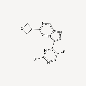 Fc1cnc(Br)nc1-c1cnc2cnc(C3COC3)cn12